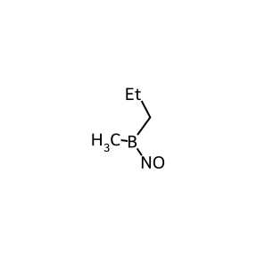 CCCB(C)N=O